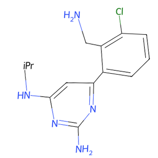 CC(C)Nc1cc(-c2cccc(Cl)c2CN)nc(N)n1